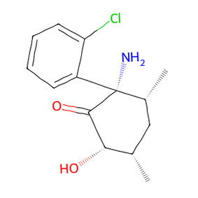 C[C@@H]1C[C@H](C)[C@H](O)C(=O)[C@@]1(N)c1ccccc1Cl